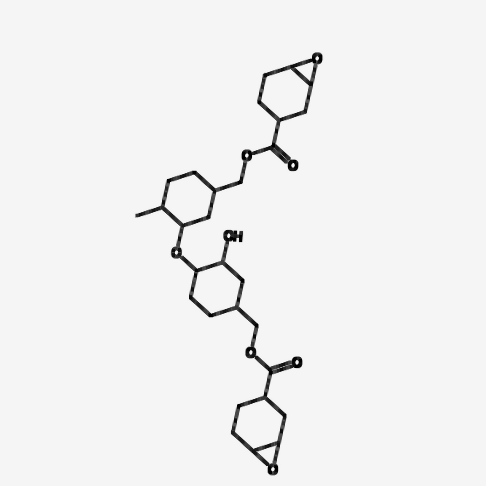 CC1CCC(COC(=O)C2CCC3OC3C2)CC1OC1CCC(COC(=O)C2CCC3OC3C2)CC1O